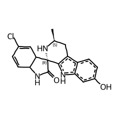 C[C@H]1Cc2c([nH]c3cc(O)ccc23)[C@@]2(N1)C(=O)NC1C=CC(Cl)=CC12